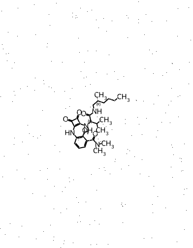 CCCC[C@@H](C)CNC(=O)[C@H](Nc1c(Nc2cccc(C(=O)N(C)C)c2O)c(=O)c1=O)C(C)C